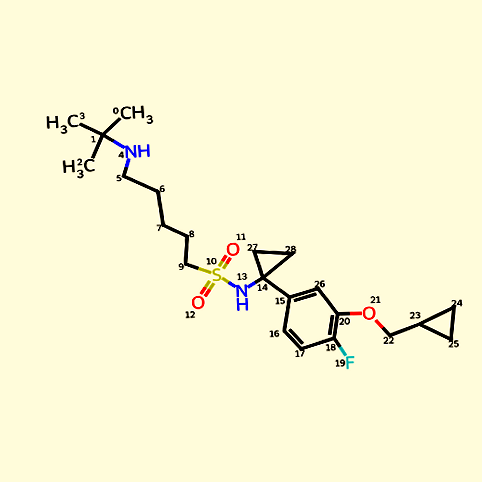 CC(C)(C)NCCCCCS(=O)(=O)NC1(c2ccc(F)c(OCC3CC3)c2)CC1